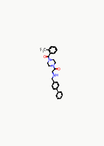 O=C(CNCc1ccc(-c2ccccc2)cc1)N1CCN(C(=O)c2ccccc2C(F)(F)F)CC1